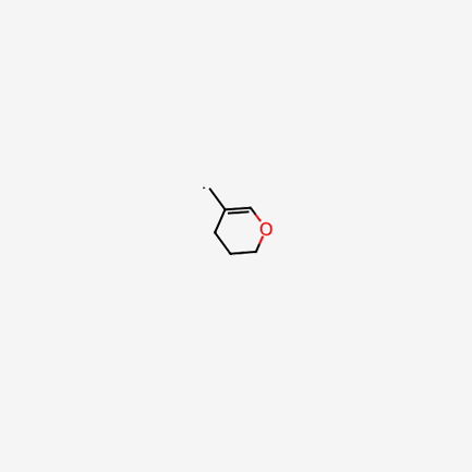 [CH2]C1=COCCC1